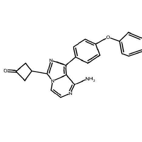 Nc1nccn2c(C3CC(=O)C3)nc(-c3ccc(Oc4ccccc4)cc3)c12